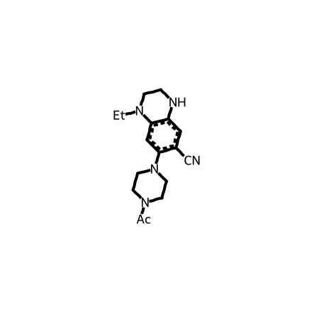 CCN1CCNc2cc(C#N)c(N3CCN(C(C)=O)CC3)cc21